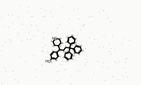 Oc1ccc(C(CCC(c2ccccc2)(c2ccccc2)c2ccccc2)C2CCNCC2)cc1